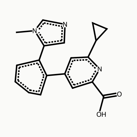 Cn1cncc1-c1ccccc1-c1cc(C(=O)O)nc(C2CC2)c1